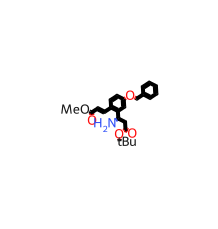 COC(=O)C=Cc1ccc(OCc2ccccc2)cc1C(N)CC(=O)OC(C)(C)C